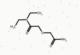 CCN(CC)C(=O)COCC(N)=O